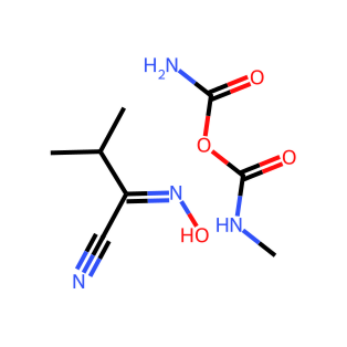 CC(C)C(C#N)=NO.CNC(=O)OC(N)=O